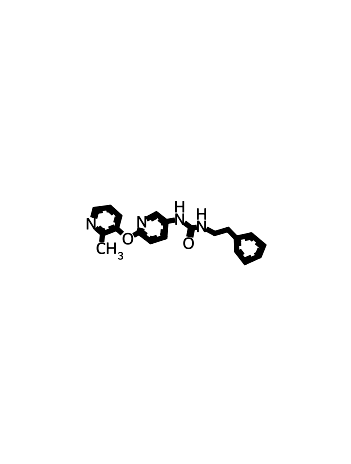 Cc1ncccc1Oc1ccc(NC(=O)NCCc2ccccc2)cn1